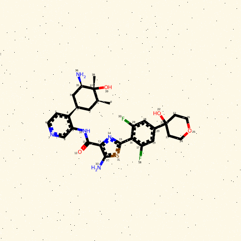 C[C@H]1C[C@@H](c2ccncc2NC(=O)c2nc(-c3c(F)cc(C4(O)CCOCC4)cc3F)sc2N)C[C@@H](N)[C@]1(C)O